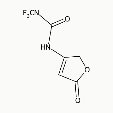 O=C(NC1=CC(=O)OC1)NC(F)(F)F